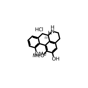 COc1cccc2c1-c1c(OC)c(O)cc3c1[C@H](C2)NCC3.Cl